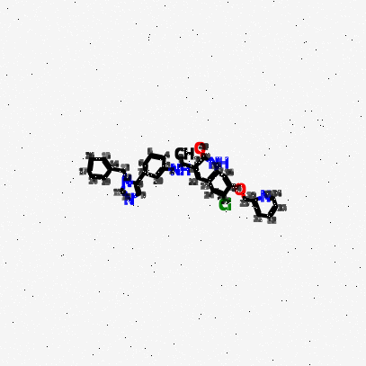 C[C@H](Nc1cccc(-c2cncn2Cc2ccccc2)c1)c1cc2cc(Cl)c(OCc3ccccn3)cc2[nH]c1=O